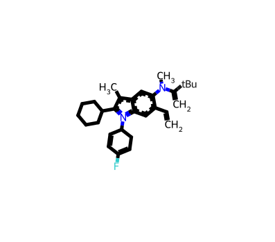 C=Cc1cc2c(cc1N(C)C(=C)C(C)(C)C)c(C)c(C1CCCCC1)n2C1C=CC(F)=CC1